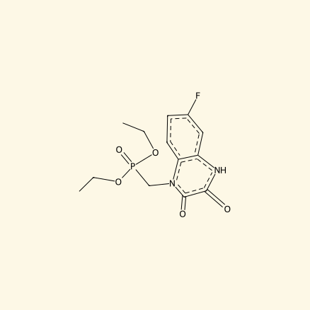 CCOP(=O)(Cn1c(=O)c(=O)[nH]c2cc(F)ccc21)OCC